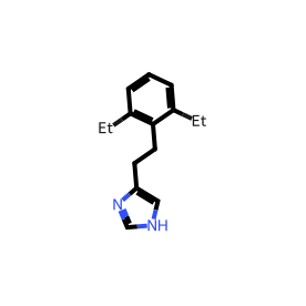 CCc1cccc(CC)c1CCc1c[nH]cn1